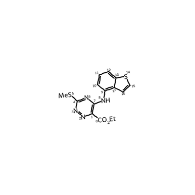 CCOC(=O)c1nnc(SC)nc1Nc1cccc2sccc12